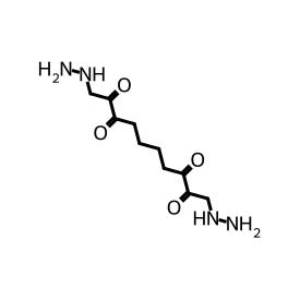 NNCC(=O)C(=O)CCCCC(=O)C(=O)CNN